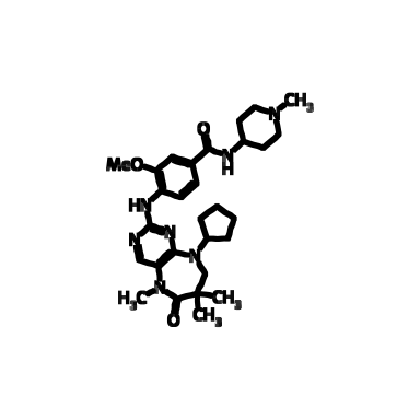 COc1cc(C(=O)NC2CCN(C)CC2)ccc1Nc1ncc2c(n1)N(C1CCCC1)CC(C)(C)C(=O)N2C